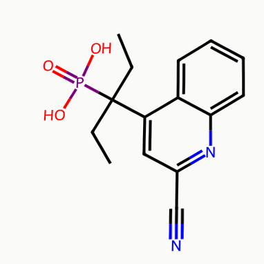 CCC(CC)(c1cc(C#N)nc2ccccc12)P(=O)(O)O